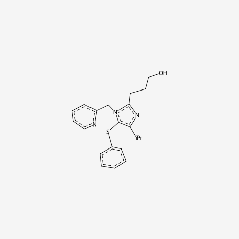 CC(C)c1nc(CCCO)n(Cc2ccccn2)c1Sc1ccccc1